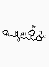 O=C(NCCCN1CCCC1)N(S)CCCN(Cc1ccc(Cl)c(Cl)c1)c1ccc(Br)cn1